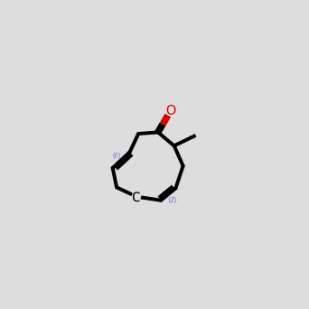 CC1C/C=C\CC/C=C/CC1=O